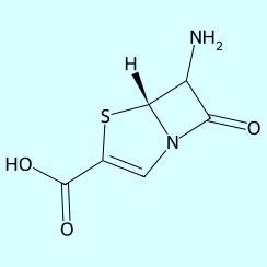 NC1C(=O)N2C=C(C(=O)O)S[C@H]12